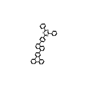 c1ccc(-c2nc(-c3ccccc3)nc(-c3ccc(-c4cccc5c(-c6ccc7c8ccccc8c8ccccc8c7c6)cccc45)cc3)n2)cc1